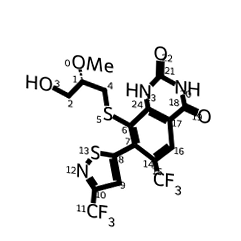 CO[C@@H](CO)CSc1c(-c2cc(C(F)(F)F)ns2)c(C(F)(F)F)cc2c(=O)[nH]c(=O)[nH]c12